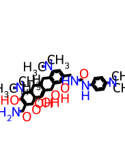 CN(C)c1ccc(NC(=O)NCc2cc(N(C)C)c3c(c2O)C(=O)C2=C(O)[C@]4(O)C(=O)C(C(N)=O)=C(O)[C@@H](N(C)C)[C@@H]4C[C@@H]2C3)cc1